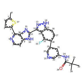 Cc1ccc(-c2nccc3[nH]c(-c4n[nH]c5ccc(-c6cncc(NC(=O)C(C)(C)C)c6)c(F)c45)nc23)s1